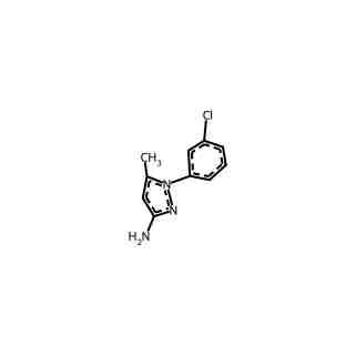 Cc1cc(N)nn1-c1cccc(Cl)c1